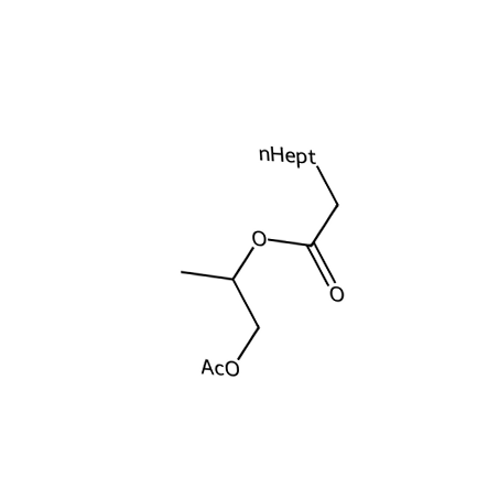 CCCCCCCCC(=O)OC(C)COC(C)=O